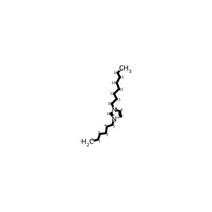 [CH2]CCCCC[n+]1ccn(CCCCCCCC)c1